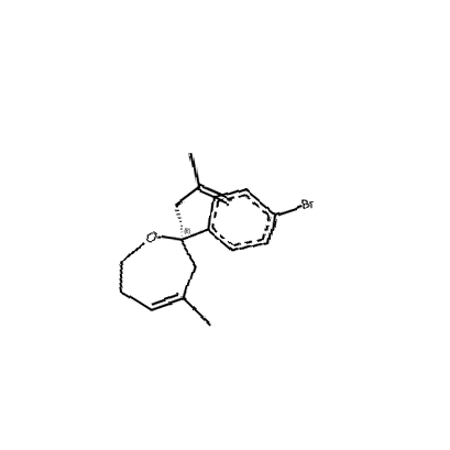 C=C(C)C[C@]1(c2ccc(Br)cc2)CC(C)=CCCO1